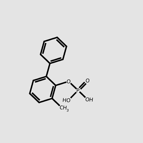 Cc1cccc(-c2ccccc2)c1OP(=O)(O)O